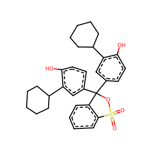 O=S1(=O)OC(c2ccc(O)c(C3CCCCC3)c2)(c2ccc(O)c(C3CCCCC3)c2)c2ccccc21